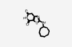 O=C1Cc2nc(BC3CCCCCCC3)oc2C(=O)N1